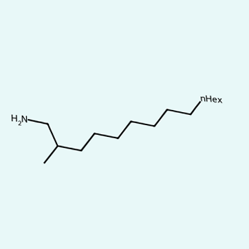 CCCCCCCCCCCCCC(C)CN